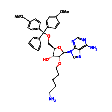 COc1ccc(C(OC[C@H]2O[C@@H](n3cnc4c(N)ncnc43)[C@H](OCCCCCN)[C@@H]2O)(c2ccccc2)c2ccc(OC)cc2)cc1